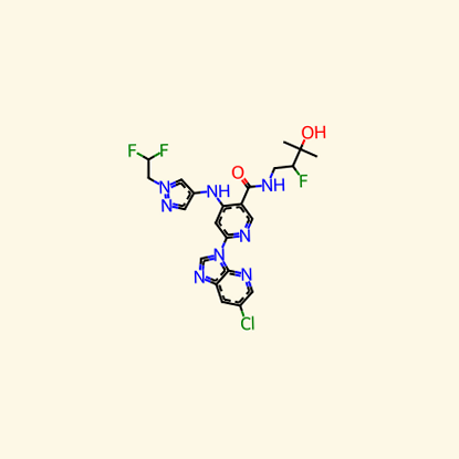 CC(C)(O)C(F)CNC(=O)c1cnc(-n2cnc3cc(Cl)cnc32)cc1Nc1cnn(CC(F)F)c1